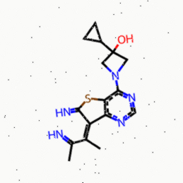 CC(=N)/C(C)=C1\C(=N)Sc2c1ncnc2N1CC(O)(C2CC2)C1